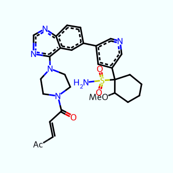 COC1CCCCC1(c1cncc(-c2ccc3ncnc(N4CCN(C(=O)C=CC(C)=O)CC4)c3c2)c1)S(N)(=O)=O